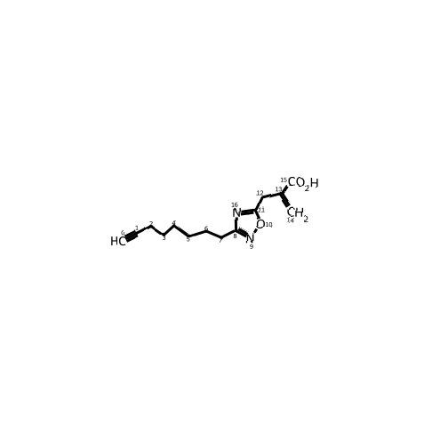 C#CCCCCCCc1noc(CC(=C)C(=O)O)n1